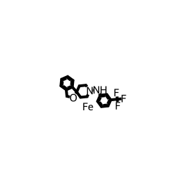 FC(F)(F)c1cccc(NN2CCC3(CC2)OCc2ccccc23)c1.[Fe]